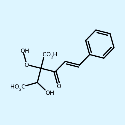 O=C(O)C(O)C(OO)(C(=O)O)C(=O)C=Cc1ccccc1